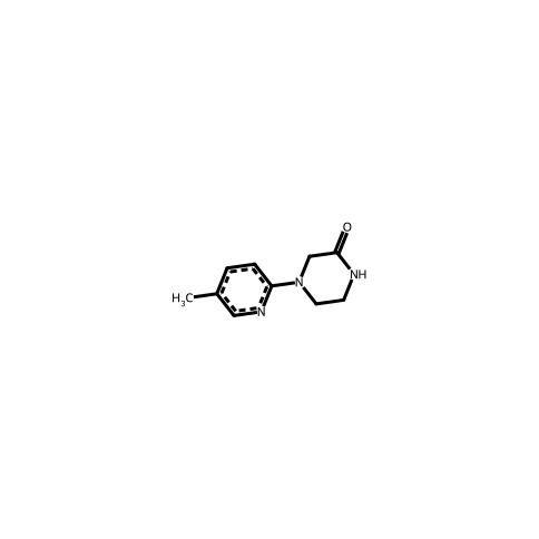 Cc1ccc(N2CCNC(=O)C2)nc1